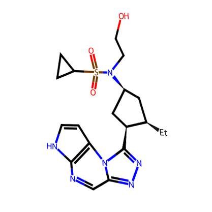 CC[C@@H]1C[C@H](N(CCO)S(=O)(=O)C2CC2)C[C@@H]1c1nnc2cnc3[nH]ccc3n12